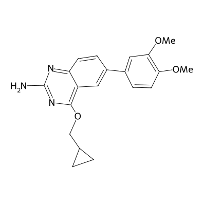 COc1ccc(-c2ccc3nc(N)nc(OCC4CC4)c3c2)cc1OC